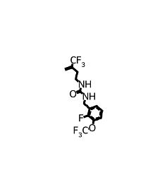 C=C(CCNC(=O)NCc1cccc(OC(F)(F)F)c1F)C(F)(F)F